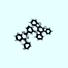 c1ccc(-c2nc(-c3cccc(-n4c5ccccc5c5c6c7ccccc7oc6c6oc7ccccc7c6c54)c3)nc3ccccc23)cc1